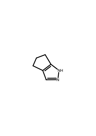 [c]1n[nH]c2c1CCC2